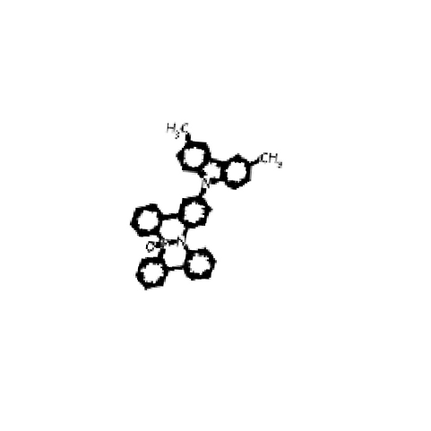 Cc1ccc2c(c1)c1cc(C)ccc1n2-c1ccc2c(c1)-c1ccccc1P1(=O)c3ccccc3-c3ccccc3N21